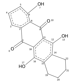 O=C1c2cccc(O)c2C(=O)c2c(O)c3c(c(O)c21)CCCC3